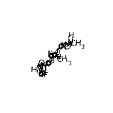 CNC(=O)CN1CCC(COc2cc3nccc(Oc4ccc(NC(=O)C5(C(=O)Nc6cccc(F)c6)CC5)cc4)c3cc2OC)CC1